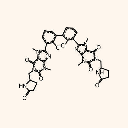 Cn1c(-c2cccc(-c3cccc(-c4nc5c(c(=O)n(CC6CCC(=O)N6)c(=O)n5C)n4C)c3Cl)c2Cl)nc2c1c(=O)n(CC1CCC(=O)N1)c(=O)n2C